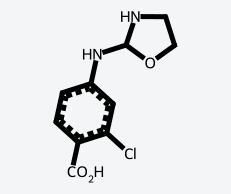 O=C(O)c1ccc(NC2NCCO2)cc1Cl